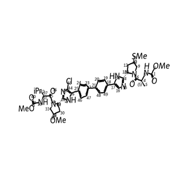 COC(=O)N[C@@H](C)C(=O)N1C[C@@H](SC)C[C@H]1c1ncc(-c2ccc(-c3ccc(-c4[nH]c([C@@H]5C[C@H](OC)CN5C(=O)[C@@H](NC(=O)OC)C(C)C)nc4Cl)cc3)cc2)[nH]1